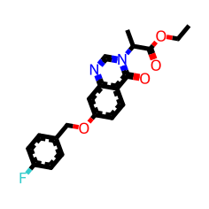 CCOC(=O)C(C)n1cnc2cc(OCc3ccc(F)cc3)ccc2c1=O